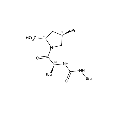 CC(C)[C@@H]1C[C@@H](C(=O)O)N(C(=O)[C@@H](NC(=O)NC(C)(C)C)C(C)(C)C)C1